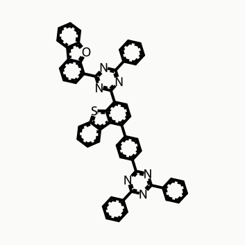 c1ccc(-c2nc(-c3ccccc3)nc(-c3ccc(-c4ccc(-c5nc(-c6ccccc6)nc(-c6cccc7c6oc6ccccc67)n5)c5sc6ccccc6c45)cc3)n2)cc1